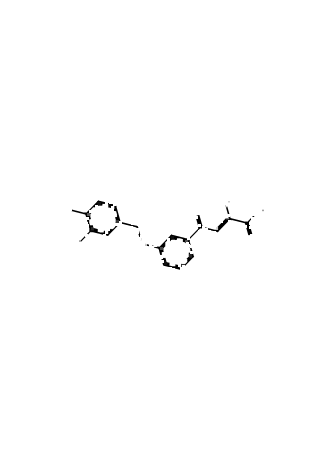 O=C(O)/C(O)=C/C(=O)c1cccc(OCc2ccc(Cl)c(Cl)c2)c1